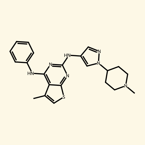 Cc1csc2nc(Nc3cnn(C4CCN(C)CC4)c3)nc(Nc3ccccc3)c12